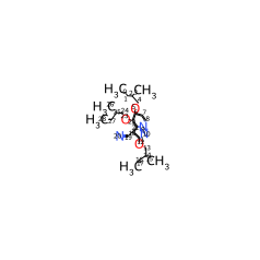 CCC(C)COc1ccn2nc(OCC(C)CC)c(C#N)c2c1OCC(C)CC